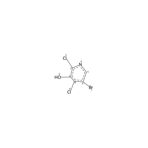 Oc1c(Cl)ncc(Br)c1Cl